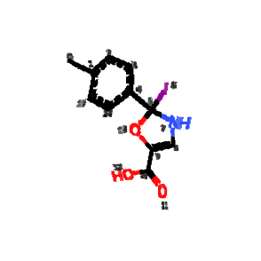 Cc1ccc(C2(I)NC=C(C(=O)O)O2)cc1